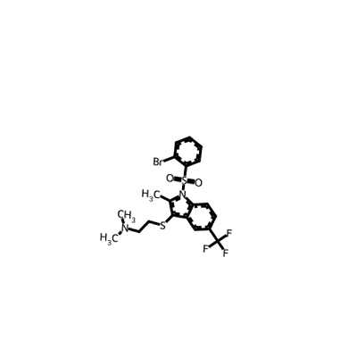 Cc1c(SCCN(C)C)c2cc(C(F)(F)F)ccc2n1S(=O)(=O)c1ccccc1Br